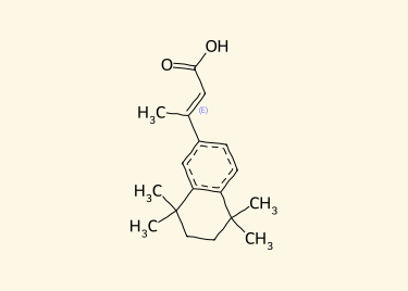 C/C(=C\C(=O)O)c1ccc2c(c1)C(C)(C)CCC2(C)C